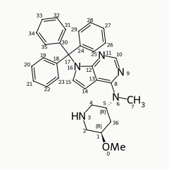 CO[C@H]1CNC[C@H](N(C)c2ncnc3c2ccn3C(c2ccccc2)(c2ccccc2)c2ccccc2)C1